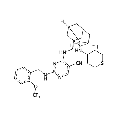 N#Cc1cnc(NCc2ccccc2OC(F)(F)F)nc1NCC12CC3C[C@H](C1)[C@H](NC1CCSCC1)[C@@H](C3)C2